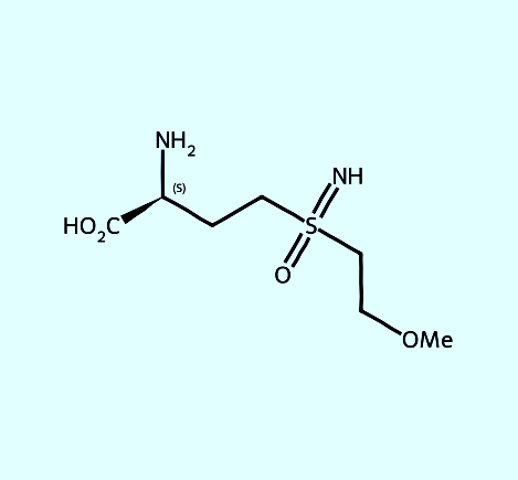 COCCS(=N)(=O)CC[C@H](N)C(=O)O